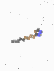 CCCCCCCCSSSSc1nncs1